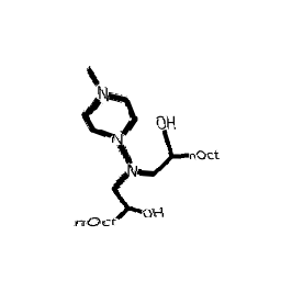 CCCCCCCCC(O)CN(CC(O)CCCCCCCC)N1CCN(C)CC1